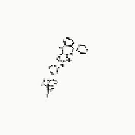 CN1C(=O)[C@H](NC(=O)Nc2cccc(C(=O)NS(=O)(=O)C(F)(F)F)c2)N=C(C2CCCCC2)c2ccccc21